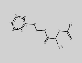 CN(CC(=O)O)C(=O)CCCc1ccncc1